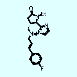 CCN1C(=O)C[C@@H](CNC/C=C/c2ccc(F)cc2)C1c1nccn1C